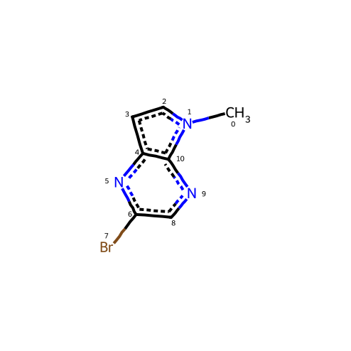 Cn1ccc2nc(Br)cnc21